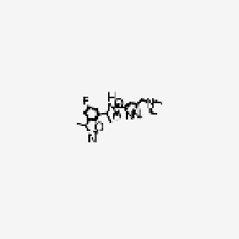 CCN(CC)Cc1cc(S(=O)(=O)NC(C)c2cc(F)cc(C(C)C)c2OC#N)nn1C